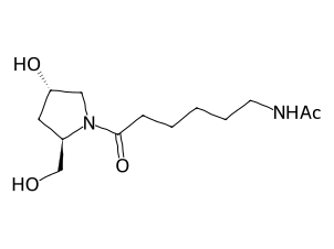 CC(=O)NCCCCCC(=O)N1C[C@@H](O)C[C@@H]1CO